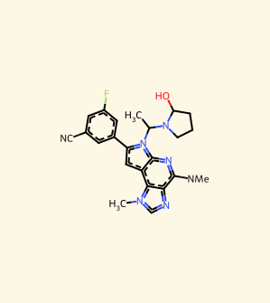 CNc1nc2c(cc(-c3cc(F)cc(C#N)c3)n2C(C)N2CCCC2O)c2c1ncn2C